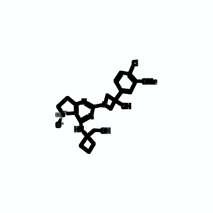 COc1cc(C2(O)CN(c3nc4c(c(NC5(CO)CCC5)n3)[S@+]([O-])CC4)C2)ccc1Cl